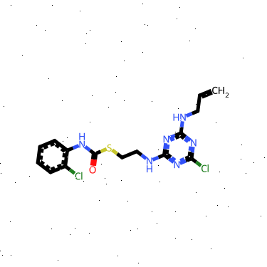 C=CCNc1nc(Cl)nc(NCCSC(=O)Nc2ccccc2Cl)n1